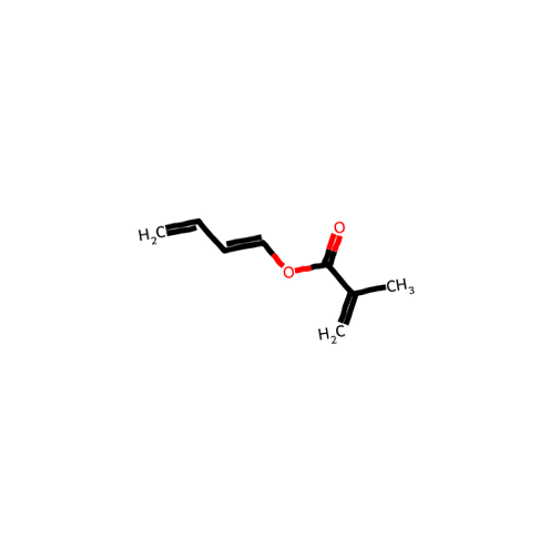 C=CC=COC(=O)C(=C)C